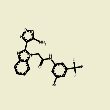 Nc1nonc1-c1nc2ccccc2n1CC(=O)Nc1cc(Br)cc(C(F)(F)F)c1